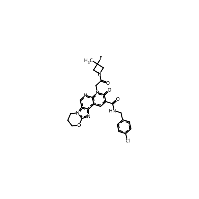 CC1(F)CN(C(=O)Cn2c(=O)c(C(=O)NCc3ccc(Cl)cc3)cc3c4nc5n(c4cnc32)CCCO5)C1